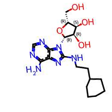 Nc1ncnc2c1nc(NCCC1CCCCC1)n2[C@@H]1O[C@H](CO)[C@@H](O)[C@H]1O